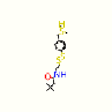 C[SH](C)Cc1ccc(SSCCNC(=O)CC(C)(C)C)cc1